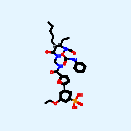 CCCCC[C@@H](C(=O)NCNC(=O)c1ccc(-c2cc(OCC)cc(P(=O)(O)O)c2)o1)[C@@H](CC)N(C=O)OC(=O)Nc1ccccc1